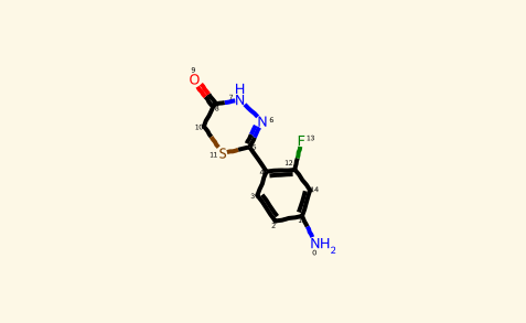 Nc1ccc(C2=NNC(=O)CS2)c(F)c1